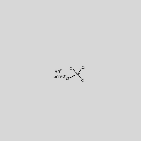 [Cl][Pb]([Cl])([Cl])[Cl].[Mg+2].[OH-].[OH-]